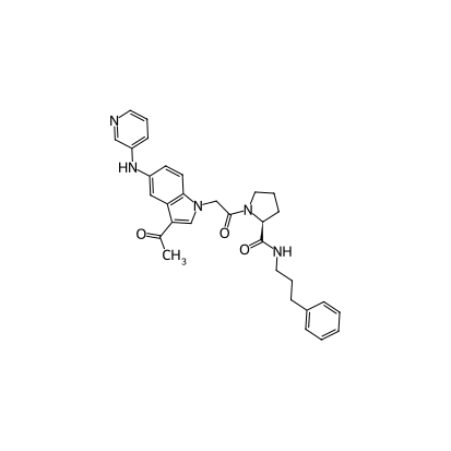 CC(=O)c1cn(CC(=O)N2CCC[C@H]2C(=O)NCCCc2ccccc2)c2ccc(Nc3cccnc3)cc12